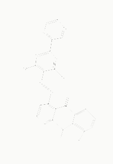 Nc1nc(-c2cnccn2)nc(N)c1/N=N/c1cccc2c1C(=O)c1cccc(Cl)c1C2O